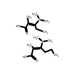 CC/C(=C(/C)C(=O)O)N(C)C.CCC/C(=C(/C)C(=O)O)N(C)C